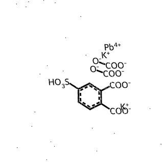 O=C([O-])[O-].O=C([O-])[O-].O=C([O-])c1ccc(S(=O)(=O)O)cc1C(=O)[O-].[K+].[K+].[Pb+4]